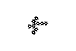 c1ccc(-c2ccc(-c3ccc(N(c4cc(-c5ccccc5)cc(-c5cccc6c5sc5ccccc56)c4)c4cccc5c4sc4ccccc45)cc3)cc2)cc1